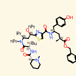 CCCO[C@H](C[C@H](C(C)C)N(CCC)C(=O)[C@@H](NC(=O)[C@H]1CCCCN1C)[C@@H](C)CC)c1nc(C(=O)N[C@@H](Cc2ccc(O)cc2)C[C@H](C)C(=O)OCc2ccccc2)cs1